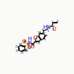 C=CC(=O)NCCc1ccc2cc(C(=O)NS(=O)(=O)c3ccccc3F)oc2c1